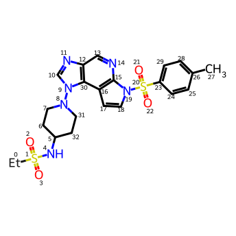 CCS(=O)(=O)NC1CCN(n2cnc3cnc4c(ccn4S(=O)(=O)c4ccc(C)cc4)c32)CC1